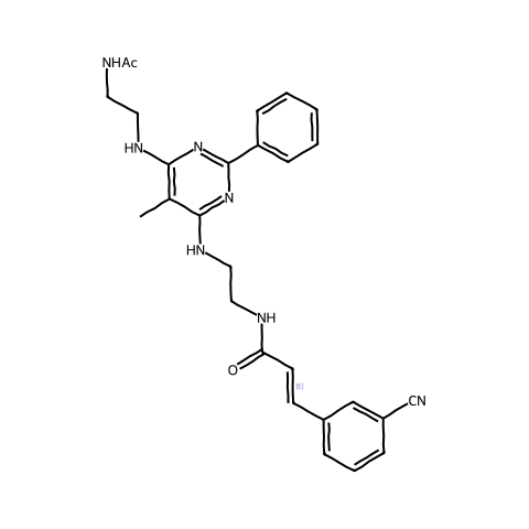 CC(=O)NCCNc1nc(-c2ccccc2)nc(NCCNC(=O)/C=C/c2cccc(C#N)c2)c1C